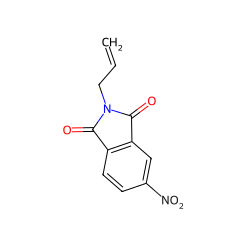 C=CCN1C(=O)c2ccc([N+](=O)[O-])cc2C1=O